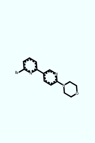 Brc1cccc(-c2ccc(N3CCOCC3)nc2)n1